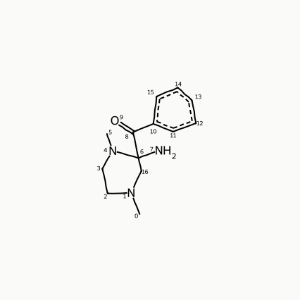 CN1CCN(C)C(N)(C(=O)c2ccccc2)C1